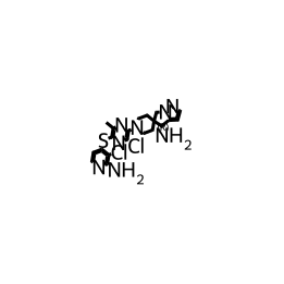 Cc1nc(N2CCC3(CC2)Cn2nccc2[C@@H]3N)c(Cl)nc1Sc1ccnc(N)c1Cl